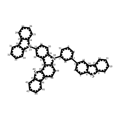 c1cc(-c2ccc3sc4ccccc4c3c2)cc(-n2c3ccc(-n4c5ccccc5c5ccccc54)cc3c3c4sc5ccccc5c4ccc32)c1